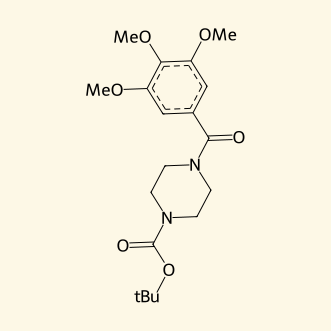 COc1cc(C(=O)N2CCN(C(=O)OC(C)(C)C)CC2)cc(OC)c1OC